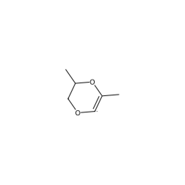 CC1=[C]OCC(C)O1